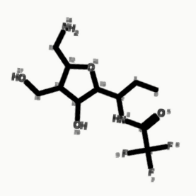 CCC(NC(=O)C(F)(F)F)C1OC(CN)C(CO)C1O